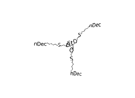 CCCCCCCCCCCCCCCCSCCCOCC(CC)(COCCCSCCCCCCCCCCCCCCCC)COCCCSCCCCCCCCCCCCCCCC